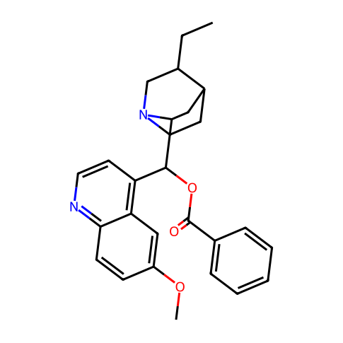 CCC1CN2CCC1CC2C(OC(=O)c1ccccc1)c1ccnc2ccc(OC)cc12